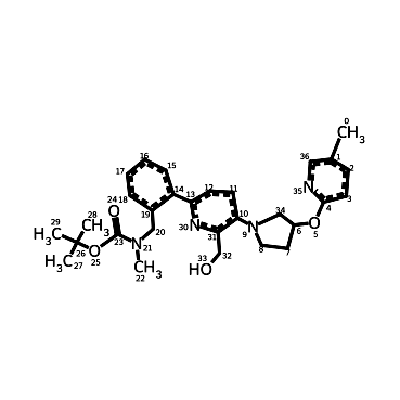 Cc1ccc(OC2CCN(c3ccc(-c4ccccc4CN(C)C(=O)OC(C)(C)C)nc3CO)C2)nc1